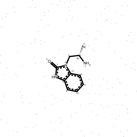 CC(=O)[C@H](N)Cn1c(=O)[nH]c2ccccc21